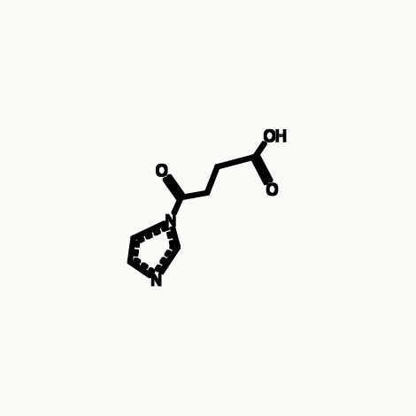 O=C(O)CCC(=O)n1ccnc1